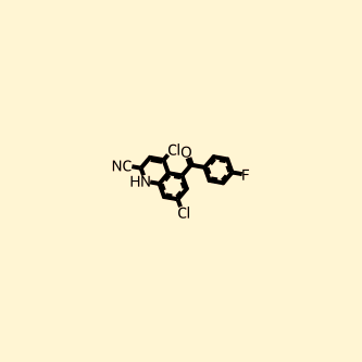 N#CC1C=C(Cl)c2c(cc(Cl)cc2C(=O)c2ccc(F)cc2)N1